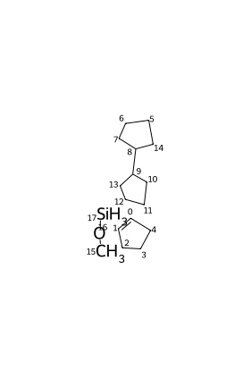 C1=CCCC1.C1CCC(C2CCCC2)C1.CO[SiH3]